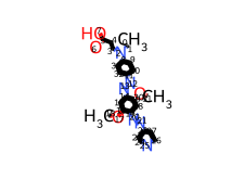 CCN(CCC(=O)O)c1ccc(N=Nc2cc(OC)c(N=Nc3ccncc3)cc2OC)cc1